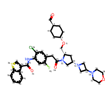 O=C[C@H]1CC[C@H](OC[C@@H]2C[C@H](N3CC(N4CCOCC4)C3)CN2C(=O)Cc2cc(Cl)c(NC(=O)c3csc4ccccc34)cc2F)CC1